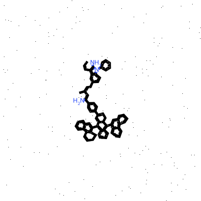 C/C=C\c1c(N)n(-c2ccccc2)c2ccc(C/C=C(C)\C=C(/N)c3ccc(C4=CCC5C(=C4)C(c4cc6ccccc6c6c4CCC=C6)=c4ccccc4=C5c4cc5ccccc5c5ccccc45)cc3)cc12